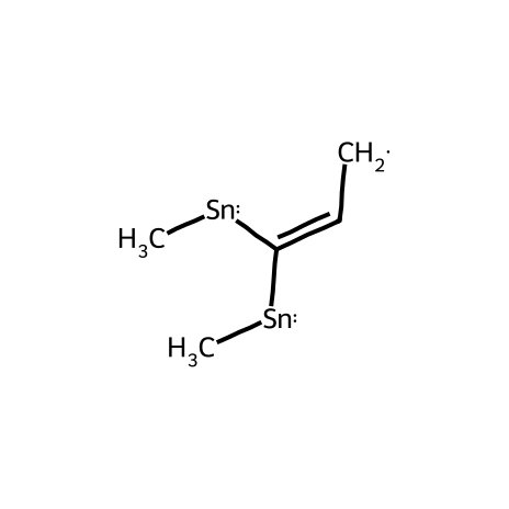 [CH2]C=[C]([Sn][CH3])[Sn][CH3]